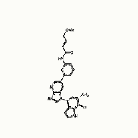 COCC=CC(=O)Nc1cccc(-c2cnc3[nH]cc(-c4cn(C)c(=O)c5[nH]ccc45)c3c2)c1